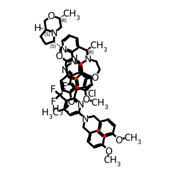 COc1ccc(CN(Cc2ccc(OC)cc2)c2cc(C)c(C(F)(F)F)c(-c3c(Cl)c4c5c(nc(OC[C@@H]6CC[C@H]7CO[C@H](C)CN67)nc5c3F)N([C@H](C)c3cccnc3N(Cc3ccc(OC)cc3)Cc3ccc(OC)cc3)CCO4)n2)cc1